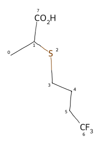 CC(SCCCC(F)(F)F)C(=O)O